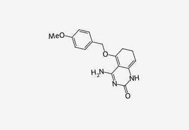 COc1ccc(COC2=c3c(N)nc(=O)[nH]c3=CCC2)cc1